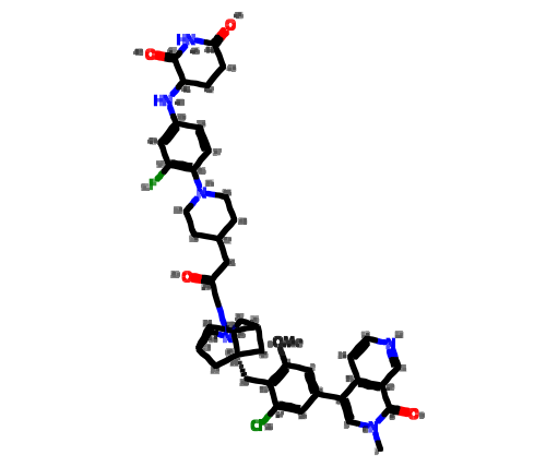 COc1cc(-c2cn(C)c(=O)c3cnccc23)cc(Cl)c1C[C@]12CC3CC1C(CN(C(=O)CC1CCN(c4ccc(NC5CCC(=O)NC5=O)cc4F)CC1)C3)C2